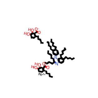 CCCCCc1ccc(N=C(CCCC)C(CCCC)=Nc2ccc(CCCCC)c(CCCCC)c2)cc1CCCCC.CCCCCc1ccc(O)c(O)c1C(=O)[O-].CCCCCc1ccc(O)c(O)c1C(=O)[O-].[Ni+2]